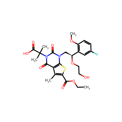 CCOC(=O)c1sc2c(c1C)c(=O)n(C(C)(C)C(=O)O)c(=O)n2C[C@H](OCCO)c1cc(F)ccc1OC